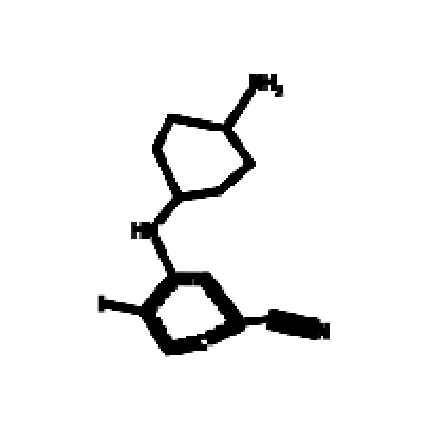 N#Cc1ccc(I)c(NC2CCC(N)CC2)c1